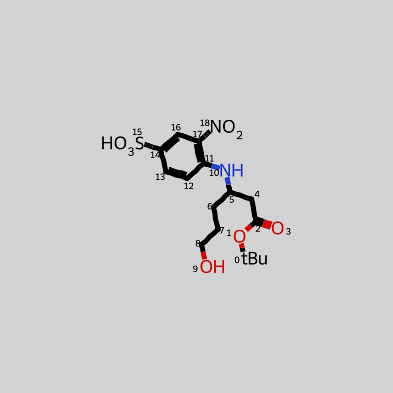 CC(C)(C)OC(=O)CC(CCCO)Nc1ccc(S(=O)(=O)O)cc1[N+](=O)[O-]